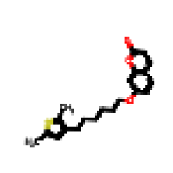 Cc1cc(CCCCCCOc2ccc3ccc(=O)oc3c2)c(C)s1